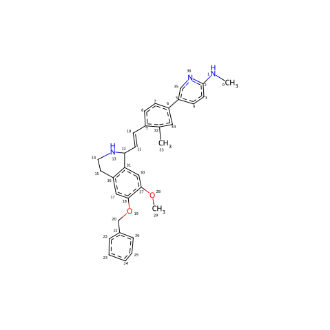 CNc1ccc(-c2ccc(/C=C/C3NCCc4cc(OCc5ccccc5)c(OC)cc43)c(C)c2)cn1